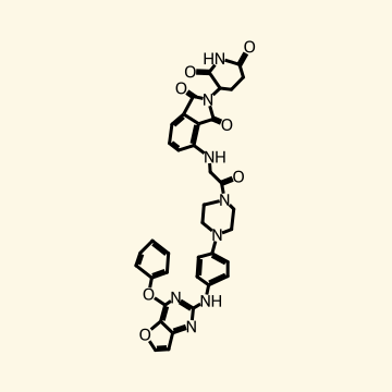 O=C1CCC(N2C(=O)c3cccc(NCC(=O)N4CCN(c5ccc(Nc6nc(Oc7ccccc7)c7occc7n6)cc5)CC4)c3C2=O)C(=O)N1